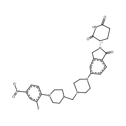 O=C1CC[C@H](N2Cc3cc(N4CCN(CC5CCN(c6ccc([N+](=O)[O-])cc6F)CC5)CC4)ccc3C2=O)C(=O)N1